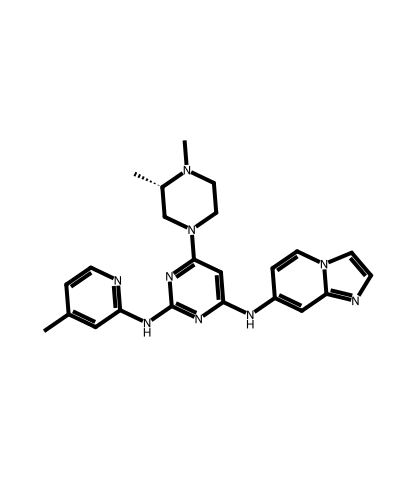 Cc1ccnc(Nc2nc(Nc3ccn4ccnc4c3)cc(N3CCN(C)[C@@H](C)C3)n2)c1